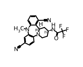 CN1c2cc(C#N)ccc2N2CC[C@H](NC(=O)C(F)(F)F)C[C@@H]2c2c(C#N)cccc21